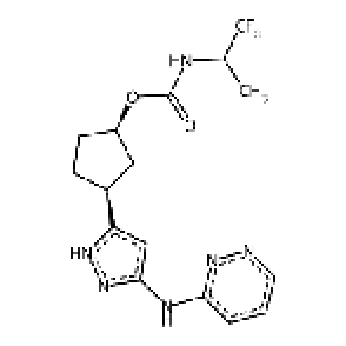 CC(NC(=O)O[C@@H]1CC[C@H](c2cc(Nc3cccnn3)n[nH]2)C1)C(F)(F)F